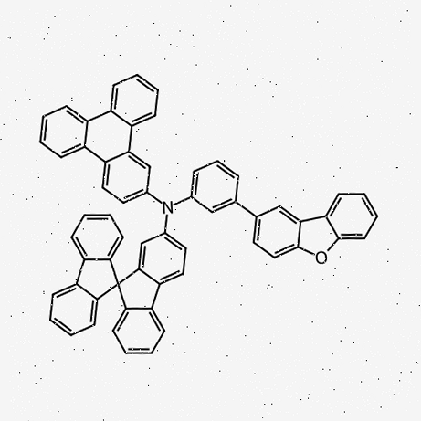 c1cc(-c2ccc3oc4ccccc4c3c2)cc(N(c2ccc3c(c2)C2(c4ccccc4-c4ccccc42)c2ccccc2-3)c2ccc3c4ccccc4c4ccccc4c3c2)c1